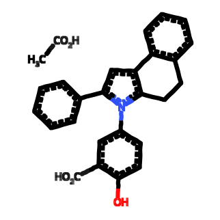 CC(=O)O.O=C(O)c1cc(-n2c(-c3ccccc3)cc3c2CCc2ccccc2-3)ccc1O